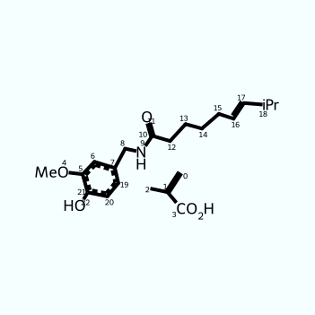 C=C(C)C(=O)O.COc1cc(CNC(=O)CCCCC=CC(C)C)ccc1O